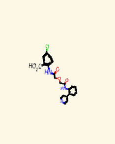 O=C(COCC(=O)Nc1ccccc1-c1ccncc1)Nc1ccc(Cl)cc1C(=O)O